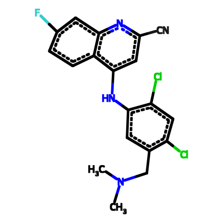 CN(C)Cc1cc(Nc2cc(C#N)nc3cc(F)ccc23)c(Cl)cc1Cl